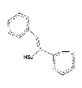 [SeH]C(=Cc1ccccc1)c1ccccc1